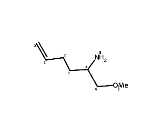 C=CCCC(N)COC